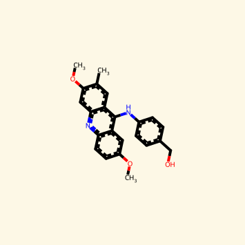 COc1ccc2nc3cc(OC)c(C)cc3c(Nc3ccc(CO)cc3)c2c1